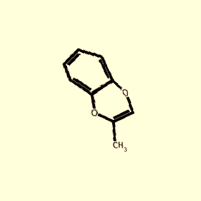 CC1=COc2ccccc2O1